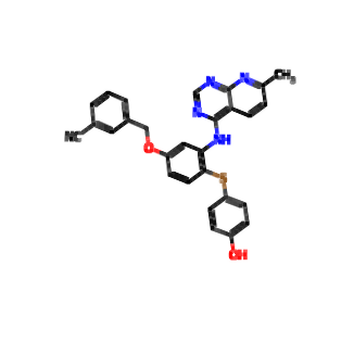 Cc1ccc2c(Nc3cc(OCc4cccc(C#N)c4)ccc3Sc3ccc(O)cc3)ncnc2n1